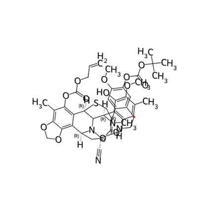 C=CCOC(=O)Oc1c(C)c2c(c3c1[C@H]1SC[C@]4(NCCc5cc(OC(=O)OC(C)(C)C)c(OC)cc54)C(=O)OC[C@@H]3N3C1[C@H]1c4c(cc(C)c(OC)c4O)CC([C@@H]3C#N)N1C)OCO2